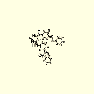 O=c1c2ccccc2sn1-c1cccc(Nc2cc(Nc3ccc(OCc4ccccn4)c(I)c3)ncn2)c1